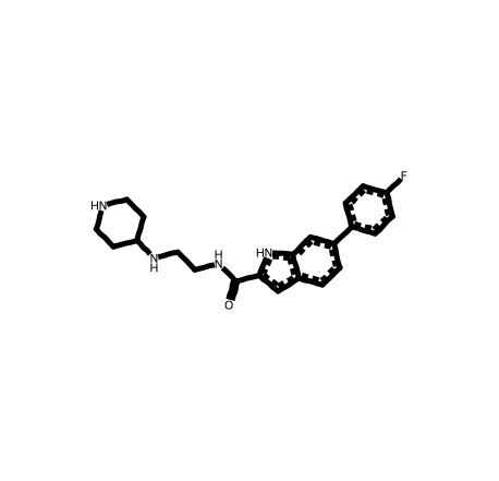 O=C(NCCNC1CCNCC1)c1cc2ccc(-c3ccc(F)cc3)cc2[nH]1